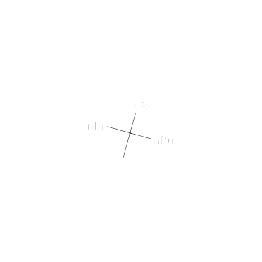 CCCCC(C)(CCC)CCC